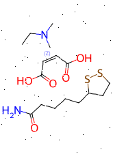 CCN(C)C.NC(=O)CCCCC1CCSS1.O=C(O)/C=C\C(=O)O